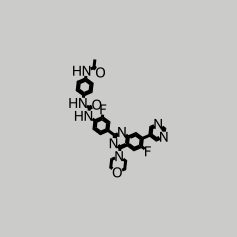 CC(=O)Nc1ccc(NC(=O)Nc2ccc(-c3nc(N4CCOCC4)c4cc(F)c(-c5cncnc5)cc4n3)cc2F)cc1